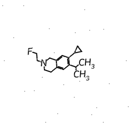 CC(C)c1cc2c(cc1C1CC1)CN(CCF)CC2